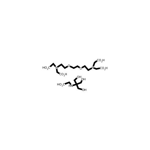 O=C(O)CN(CCOCCOCCN(CC(=O)O)CC(=O)O)CC(=O)O.O=C(O)CNC(CO)(CO)CO